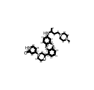 CC(CCN1CCN(C)CC1)Nc1ccc2c(c1)Sc1cccc(C3CN(c4cc[nH]c(=O)c4)CCO3)c1S2